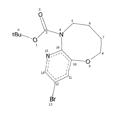 CC(C)(C)OC(=O)N1CCCCOc2cc(Br)cnc21